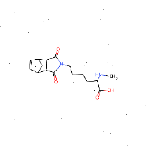 CNC(CCCCN1C(=O)C2C3C=CC(C3)C2C1=O)C(=O)O